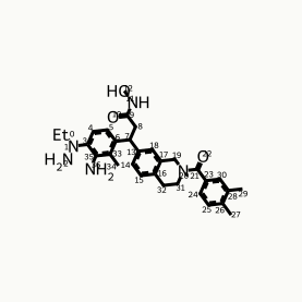 CCN(N)c1ccc(C(CC(=O)NO)c2ccc3c(c2)CN(C(=O)c2ccc(C)c(C)c2)CC3)c(C)c1N